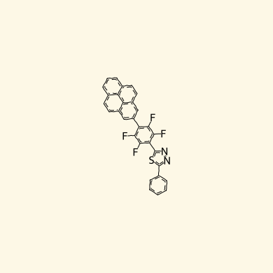 Fc1c(F)c(-c2nnc(-c3ccccc3)s2)c(F)c(F)c1-c1cc2ccc3cccc4ccc(c1)c2c34